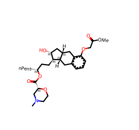 CCCCC[C@H](CC[C@@H]1[C@H]2Cc3cccc(OCC(=O)OC)c3C[C@H]2C[C@H]1O)OC(=O)[C@H]1CN(C)CCO1